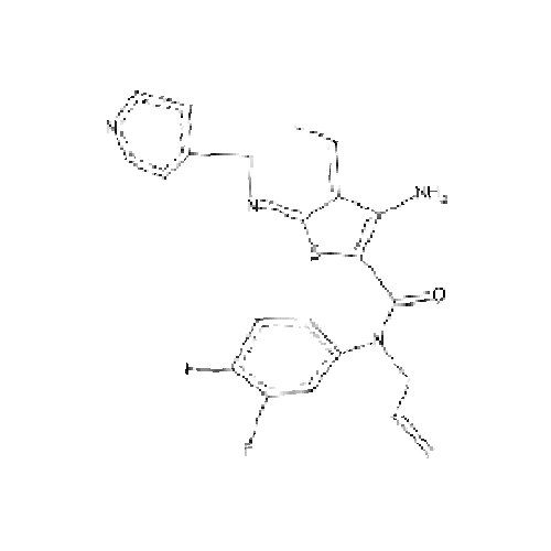 C=CCN(C(=O)C1=C(N)C(=C/C)/C(=N\Cc2ccncc2)S1)c1ccc(F)c(F)c1